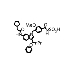 CCCC(=O)c1cn(Cc2ccc(C(=O)NS(=O)(=O)O)cc2OC)c2cc(NC(=O)CC3CCCC3)ccc12.c1ccccc1